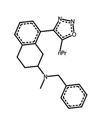 CCCc1onnc1-c1cccc2c1CC(N(C)Cc1ccccc1)CC2